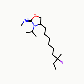 CCC(C)(I)CCCCCCC1CO/C(=N/C)N1C(C)C